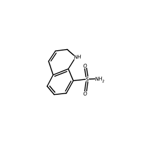 NS(=O)(=O)c1cccc2c1NCC=C2